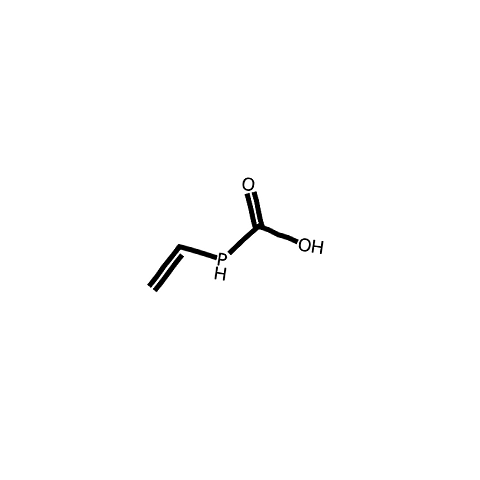 C=CPC(=O)O